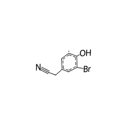 N#CCc1c[c]c(O)c(Br)c1